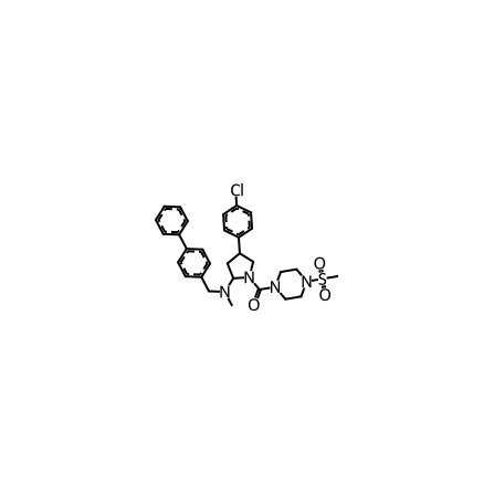 CN(Cc1ccc(-c2ccccc2)cc1)C1CC(c2ccc(Cl)cc2)CN1C(=O)N1CCN(S(C)(=O)=O)CC1